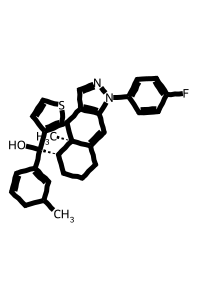 CC1C=C(C(O)(c2ccsc2)[C@H]2CCCC3=Cc4c(cnn4-c4ccc(F)cc4)C[C@@]32C)C=CC1